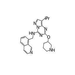 CC(C)c1cnn2c(NCc3cccc4ccncc34)nc(OC3CCCNC3)nc12